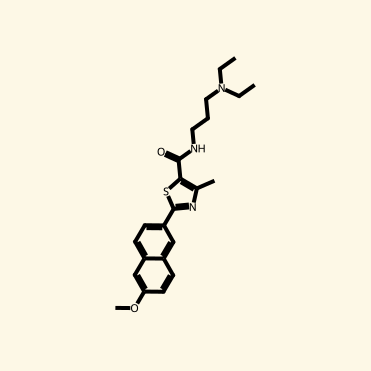 CCN(CC)CCCNC(=O)c1sc(-c2ccc3cc(OC)ccc3c2)nc1C